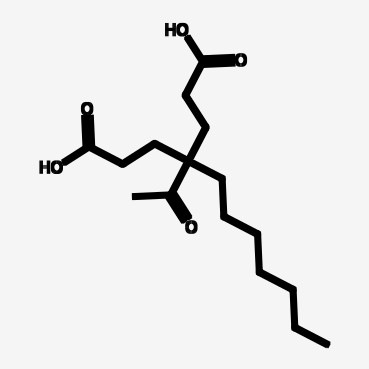 CCCCCCCC(CCC(=O)O)(CCC(=O)O)C(C)=O